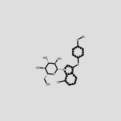 CCOc1ccc(Sc2cn([C@@H]3O[C@H](CO)[C@@H](O)[C@H](O)[C@H]3O)c3c(Cl)cccc23)cc1